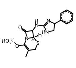 CC1=C(OC(=O)O)N2C(=O)C(NC3=NC(c4ccccc4)CN3)[C@@H]2SC1